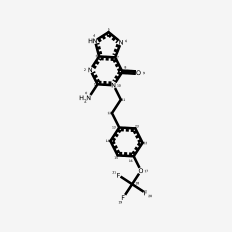 Nc1nc2[nH]cnc2c(=O)n1CCc1ccc(OC(F)(F)F)cc1